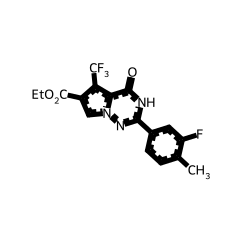 CCOC(=O)c1cn2nc(-c3ccc(C)c(F)c3)[nH]c(=O)c2c1C(F)(F)F